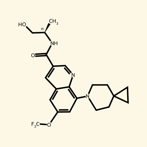 C[C@H](CO)NC(=O)c1cnc2c(N3CCC4(CC3)CC4)cc(OC(F)(F)F)cc2c1